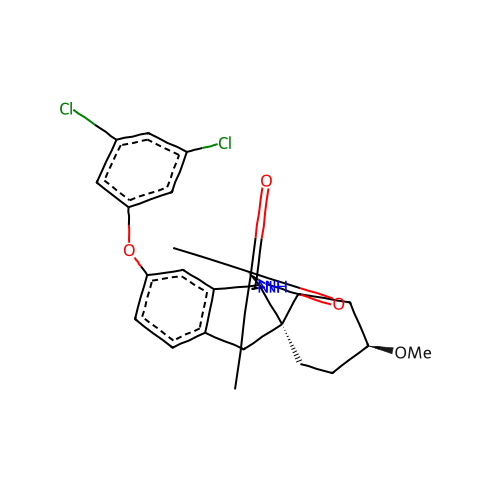 CO[C@H]1CC[C@]2(CC1)Cc1ccc(Oc3cc(Cl)cc(Cl)c3)cc1C21NC(=O)NC1=O